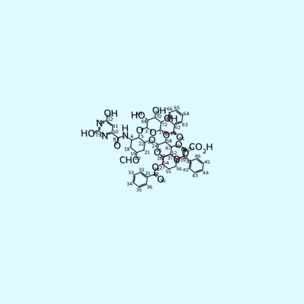 CC1OC(OC2C(NC(=O)c3cc(O)nc(O)n3)CC(C=O)CC2OC2OC(COC(=O)c3ccccc3)C(OC(=O)c3ccccc3)C(O[C@@H](CC3CCCCC3)C(=O)O)C2OC(=O)c2ccccc2)C(O)C(O)C1O